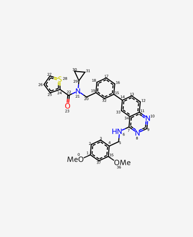 COc1ccc(CNc2ncnc3ccc(-c4cccc(CN(C(=O)c5cccs5)C5CC5)c4)cc23)c(OC)c1